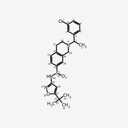 CC(c1cccc(Cl)c1)N1CCc2ccc([S+]([O-])Nc3cc(C(C)(C)C)on3)cc2C1